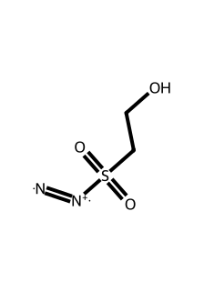 [N]=[N+]S(=O)(=O)CCO